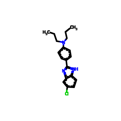 CCCN(CCC)c1ccc(-c2nc3cc(Cl)ccc3[nH]2)cc1